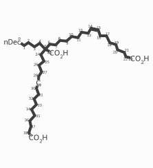 CCCCCCCCCCCCCCC(CCCCCCCC/C=C\CCCCCCCC(=O)O)(CCCCCCCCCCCCCCCC(=O)O)C(=O)O